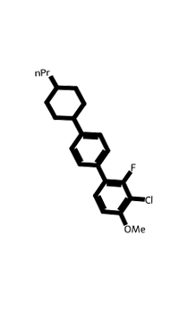 CCCC1CCC(c2ccc(-c3ccc(OC)c(Cl)c3F)cc2)CC1